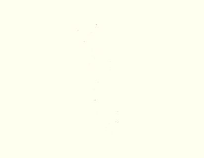 Cc1cc(C2=CCC(C3CC=C(c4cc(C)c(O)c(C)c4C)CC3)CC2)c(C)c(C)c1O